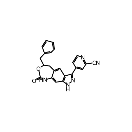 N#Cc1cc(-c2n[nH]c3cc4c(cc23)CC(Cc2ccccc2)OC(=O)N4)ccn1